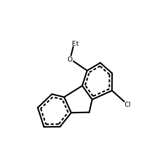 CCOc1ccc(Cl)c2c1-c1ccccc1C2